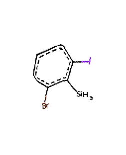 [SiH3]c1c(Br)cccc1I